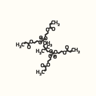 C=CC(=O)OCCOP(=O)(OCCOC(=O)C=C)OCC(C)(C)COP(=O)(OCCOC(=O)C=C)OCCOC(=O)C=C